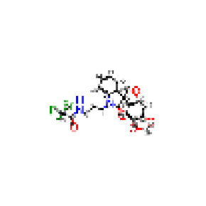 O=C(NCCCN1C(=O)C2(COc3cc4c(cc32)OCO4)c2ccccc21)C(F)(F)Br